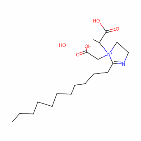 CCCCCCCCCCCC1=NCC[N+]1(CC(=O)O)C(C)C(=O)O.[OH-]